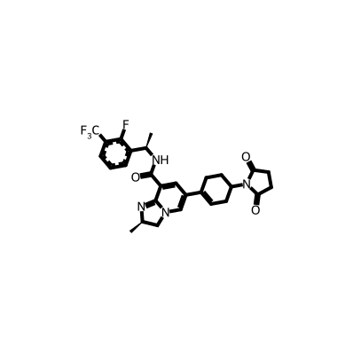 C[C@@H]1CN2C=C(C3=CCC(N4C(=O)CCC4=O)CC3)C=C(C(=O)N[C@H](C)c3cccc(C(F)(F)F)c3F)C2=N1